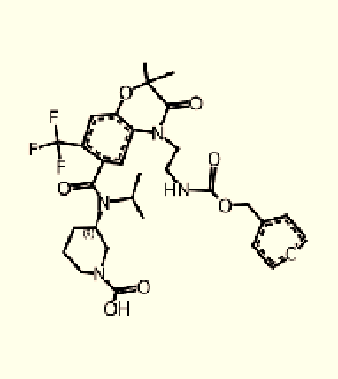 CC(C)N(C(=O)c1cc2c(cc1C(F)(F)F)OC(C)(C)C(=O)N2CCNC(=O)OCc1ccccc1)[C@@H]1CCCN(C(=O)O)C1